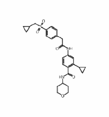 O=C(Cc1ccc(S(=O)(=O)CC2CC2)cc1)Nc1ccc(C(=O)NC2CCOCC2)c(C2CC2)c1